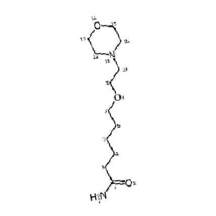 NC(=O)CCCCCOCCN1CCOCC1